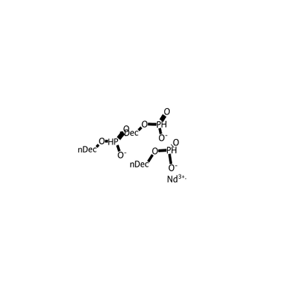 CCCCCCCCCCO[PH](=O)[O-].CCCCCCCCCCO[PH](=O)[O-].CCCCCCCCCCO[PH](=O)[O-].[Nd+3]